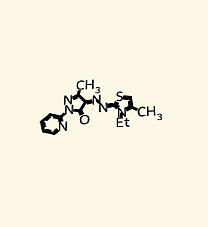 CCn1c(C)csc1=NN=C1C(=O)N(c2ccccn2)N=C1C